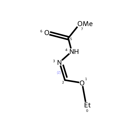 CCO/C=N\NC(=O)OC